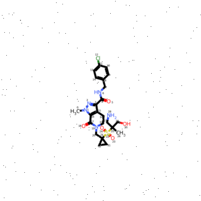 Cn1nc(C(=O)NCc2ccc(Cl)cc2)c2c1C(=O)N(CC1(S(=O)(=O)C(C)(CN)CO)CC1)CC2